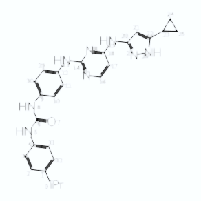 CC(C)c1ccc(NC(=O)Nc2ccc(Nc3nccc(Nc4cc(C5CC5)[nH]n4)n3)cc2)cc1